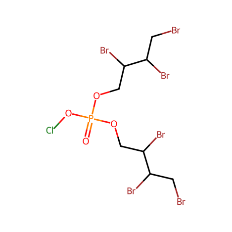 O=P(OCl)(OCC(Br)C(Br)CBr)OCC(Br)C(Br)CBr